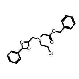 O=C(CN(CCBr)CC1OC(c2ccccc2)O1)OCc1ccccc1